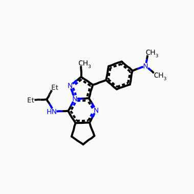 CCC(CC)Nc1c2c(nc3c(-c4ccc(N(C)C)cc4)c(C)nn13)CCC2